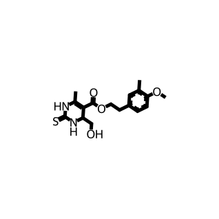 COc1ccc(CCOC(=O)C2=C(C)NC(=S)NC2CO)cc1C